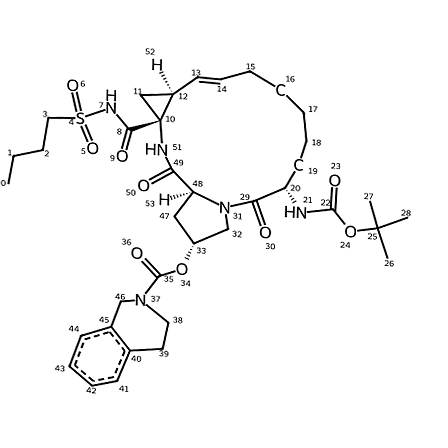 CCCCS(=O)(=O)NC(=O)[C@@]12C[C@H]1/C=C/CCCCC[C@H](NC(=O)OC(C)(C)C)C(=O)N1C[C@H](OC(=O)N3CCc4ccccc4C3)C[C@H]1C(=O)N2